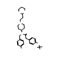 C[C@@H]1CCOC(CCN2CCC(N(Cc3ccc(F)cc3)C(=O)Cc3ccc(OC(F)(F)F)cc3)CC2)O1